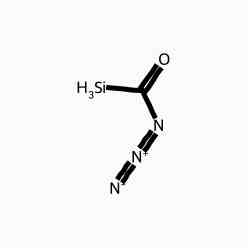 [N-]=[N+]=NC(=O)[SiH3]